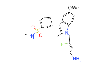 COc1ccc2c(c1)c(-c1cccc(S(=O)(=O)N(C)C)c1)c(C)n2CC(F)=CCN